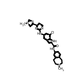 CN1CCc2ccc(NC(=O)c3cc4cc(Nc5nccc(-c6cn(C)cn6)n5)cc(Cl)c4[nH]3)cc2CC1